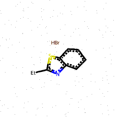 Br.CCc1nc2ccccc2s1